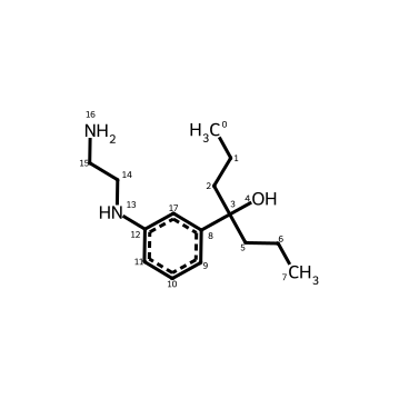 CCCC(O)(CCC)c1cccc(NCCN)c1